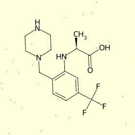 C[C@H](Nc1cc(C(F)(F)F)ccc1CN1CCNCC1)C(=O)O